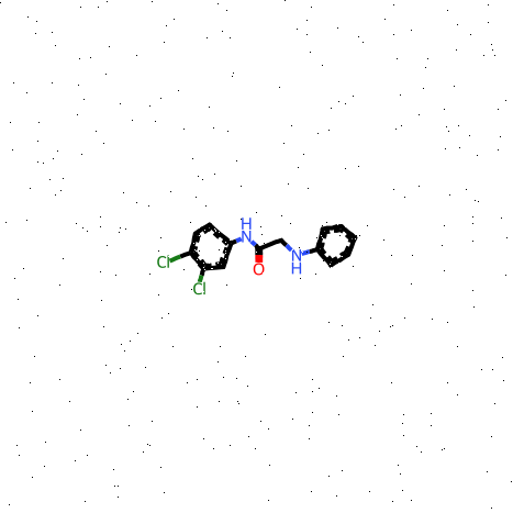 O=C(CNc1ccccc1)Nc1ccc(Cl)c(Cl)c1